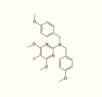 COc1ccc(CN(Cc2ccc(OC)cc2)c2nc(OC)c(I)c(OC)n2)cc1